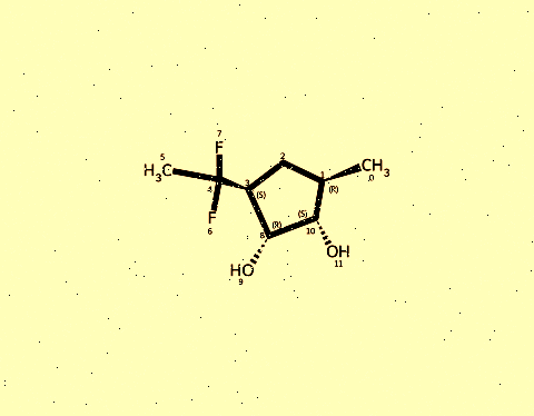 C[C@@H]1C[C@H](C(C)(F)F)[C@@H](O)[C@H]1O